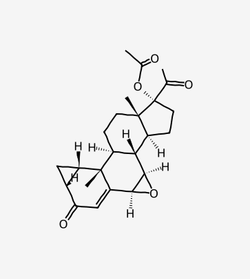 CC(=O)O[C@]1(C(C)=O)CC[C@H]2[C@@H]3[C@H]4O[C@H]4C4=CC(=O)[C@@H]5C[C@@H]5[C@]4(C)[C@H]3CC[C@@]21C